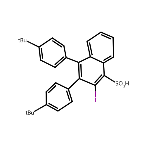 CC(C)(C)c1ccc(-c2c(I)c(S(=O)(=O)O)c3ccccc3c2-c2ccc(C(C)(C)C)cc2)cc1